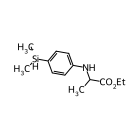 CCOC(=O)C(C)Nc1ccc([SiH](C)C)cc1